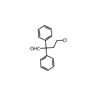 O=[C]C(CCCl)(c1ccccc1)c1ccccc1